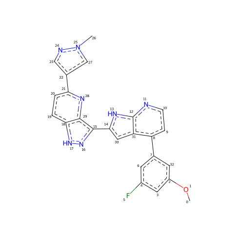 COc1cc(F)cc(-c2ccnc3[nH]c(-c4n[nH]c5ccc(-c6cnn(C)c6)nc45)cc23)c1